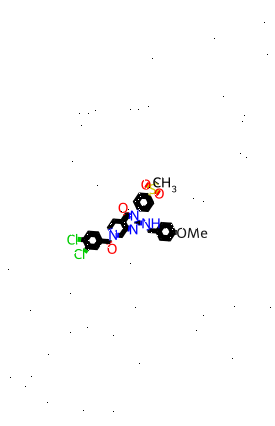 COc1ccc(CNc2nc3c(c(=O)n2-c2ccc(S(C)(=O)=O)cc2)CCN(C(=O)c2ccc(Cl)c(Cl)c2)C3)cc1